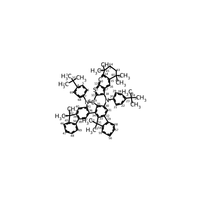 CC(C)(C)c1ccc(N2B3c4sc5cc6c(cc5c4N(c4ccc(C(C)(C)C)cc4)c4cc5c(c(c43)-c3cc4c(cc32)C(C)(C)c2ccccc2-4)C(C)(C)c2ccccc2-5)C(C)(C)CCC6(C)C)cc1